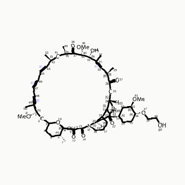 CO[C@H]1CC2CC[C@@H](C)[C@@](O)(O2)C(=O)C(=O)N2CCCC3[C@H]2C(=O)O[C@@H](CC(=O)[C@H](C)/C=C(\C)[C@@H](O)[C@@H](OC)C(=O)[C@H](C)C[C@H](C)/C=C/C=C/C=C/1C)[C@H]3C[C@@H]1CC[C@@H](OCCO)[C@H](OC)C1